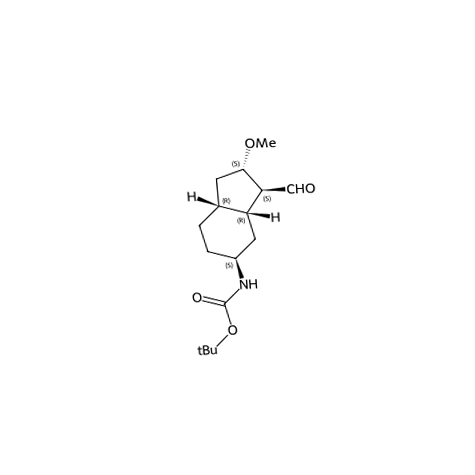 CO[C@H]1C[C@H]2CC[C@H](NC(=O)OC(C)(C)C)C[C@H]2[C@@H]1C=O